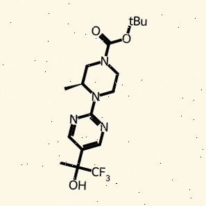 C[C@H]1CN(C(=O)OC(C)(C)C)CCN1c1ncc(C(C)(O)C(F)(F)F)cn1